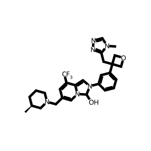 C[C@H]1CCCN(CC2=CN3C(=CN(c4cccc(C5(Cc6nncn6C)COC5)c4)C3O)C(C(F)(F)F)=C2)C1